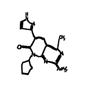 Cc1nc(N)nc2c1cc(-c1cc[nH]n1)c(=O)n2C1CCCC1